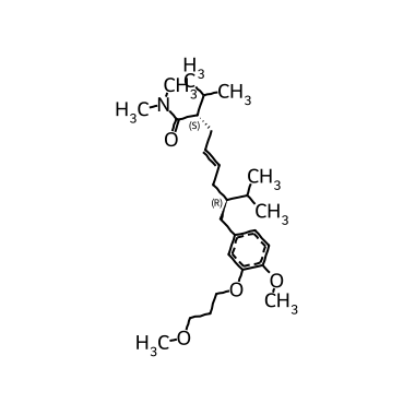 COCCCOc1cc(C[C@@H](CC=CC[C@H](C(=O)N(C)C)C(C)C)C(C)C)ccc1OC